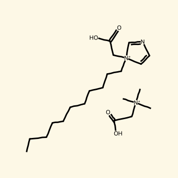 CCCCCCCCCCC[N+]1(CC(=O)O)C=CN=C1.C[N+](C)(C)CC(=O)O